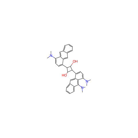 CN(C)c1ccc(C2C(O)C(c3ccc(N(C)C)c4c(N(C)C)c5ccccc5cc34)C2O)c2cc3ccccc3cc12